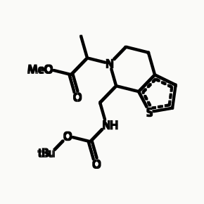 COC(=O)C(C)N1CCc2ccsc2C1CNC(=O)OC(C)(C)C